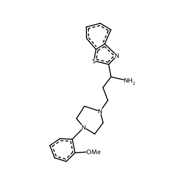 COc1ccccc1N1CCN(CCC(N)c2nc3ccccc3s2)CC1